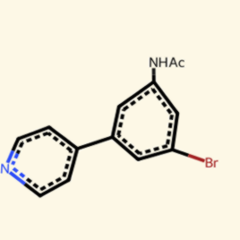 CC(=O)Nc1cc(Br)cc(-c2ccncc2)c1